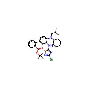 CC(C)CN(c1ccc(-c2ccccc2C(=O)OC(C)(C)C)cc1Nc1nc(Br)ns1)C1CCCCC1